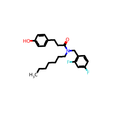 CCCCCCCN(Cc1ccc(F)cc1F)C(=O)CCc1ccc(O)cc1